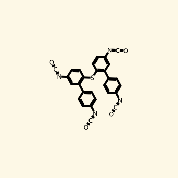 O=C=Nc1ccc(-c2cc(N=C=O)ccc2Sc2ccc(N=C=O)cc2-c2ccc(N=C=O)cc2)cc1